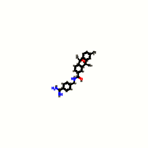 CCc1ccc2c(c1)[C@H]1O[C@@H]2c2ccc(C(=O)NCc3ccc(C(=N)N)cc3)cc21